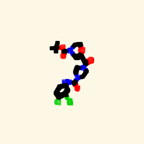 CC(C)(C)OC(=O)N1CCOC(C(=O)N2CCN(C(=O)Nc3ccc(Cl)c(Cl)c3)CC2)C1